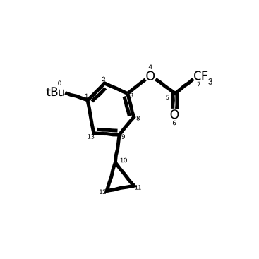 CC(C)(C)c1cc(OC(=O)C(F)(F)F)cc(C2CC2)c1